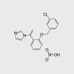 C=C(c1ccccc1OCc1cccc(Cl)c1)n1ccnc1.O=[N+]([O-])O